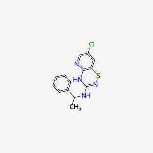 CC(NC1=NSc2cc(Cl)cnc2N1)c1ccccc1